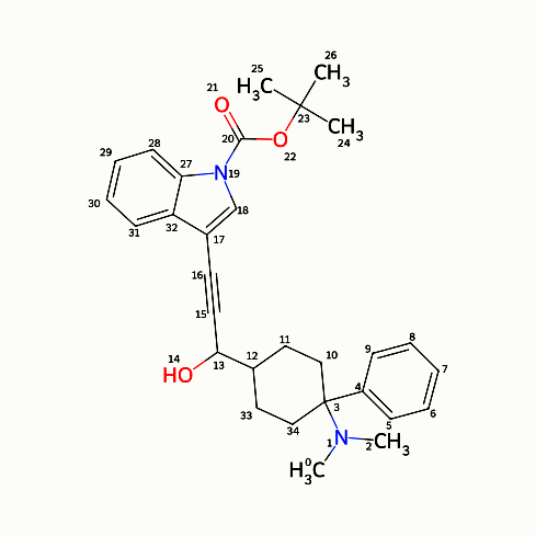 CN(C)C1(c2ccccc2)CCC(C(O)C#Cc2cn(C(=O)OC(C)(C)C)c3ccccc23)CC1